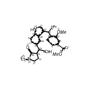 CCCC(c1ccc(C(=O)OC)cc1OC)c1c[nH]c2ccc(C(O)C3CCN(CC)C3=O)cc12